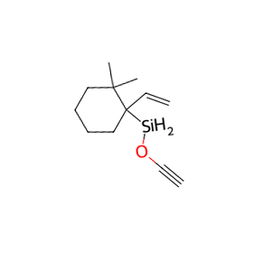 C#CO[SiH2]C1(C=C)CCCCC1(C)C